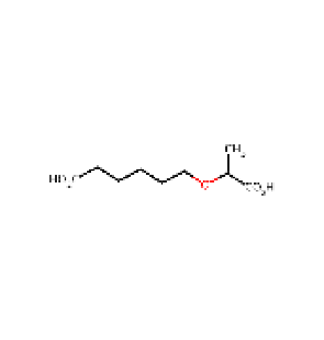 CC(OCCCCCC(=O)O)C(=O)O